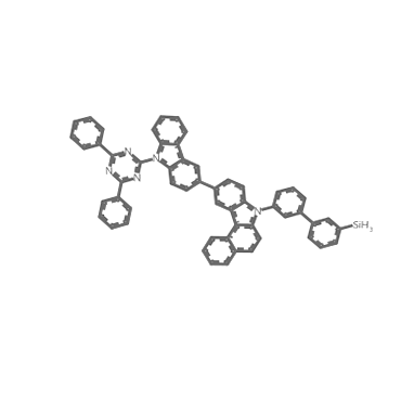 [SiH3]c1cccc(-c2cccc(-n3c4ccc(-c5ccc6c(c5)c5ccccc5n6-c5nc(-c6ccccc6)nc(-c6ccccc6)n5)cc4c4c5ccccc5ccc43)c2)c1